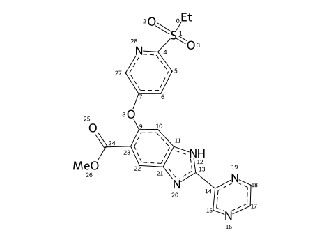 CCS(=O)(=O)c1ccc(Oc2cc3[nH]c(-c4cnccn4)nc3cc2C(=O)OC)cn1